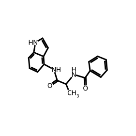 CC(NC(=O)c1ccccc1)C(=O)Nc1cccc2[nH]ccc12